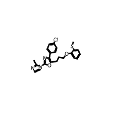 CSc1ccccc1OCCCc1oc(-n2ccnc2C)nc1-c1ccc(Cl)cc1